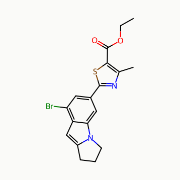 CCOC(=O)c1sc(-c2cc(Br)c3cc4n(c3c2)CCC4)nc1C